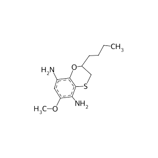 CCCCC1CSc2c(N)c(OC)cc(N)c2O1